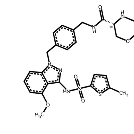 COc1cccc2c1c(NS(=O)(=O)c1ccc(C)s1)nn2Cc1ccc(CNC(=O)[C@H]2COCCN2)cc1